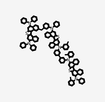 Cc1cccc(N(c2cccc(-c3cccc(N(c4ccccc4C)c4cc5sc6cc(N(c7ccccc7)c7ccccc7C)c7ccccc7c6c5c5ccccc45)c3)c2)c2cc3sc4cc(N(c5ccccc5)c5cccc(Cc6ccc7c(N(c8ccccc8)c8ccccc8)cc8sc9cc(N(c%10ccccc%10)c%10ccccc%10)c%10ccccc%10c9c8c7c6)c5)c5ccccc5c4c3c3ccccc23)c1